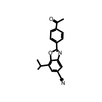 CC(=O)c1ccc(-c2nc3cc(C#N)cc(C(C)C)c3o2)cc1